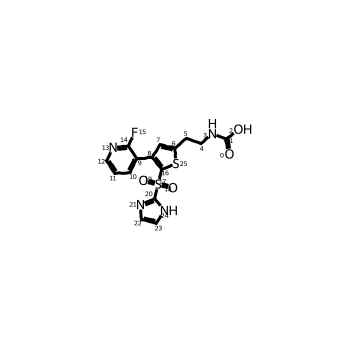 O=C(O)NCCc1cc(-c2cccnc2F)c(S(=O)(=O)c2ncc[nH]2)s1